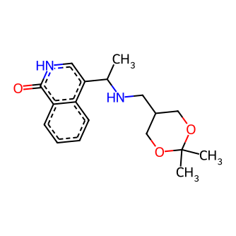 CC(NCC1COC(C)(C)OC1)c1c[nH]c(=O)c2ccccc12